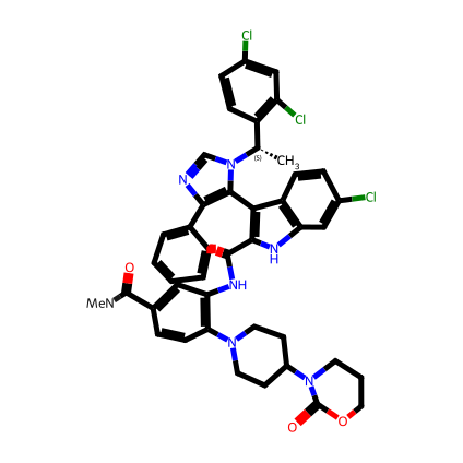 CNC(=O)c1ccc(N2CCC(N3CCCOC3=O)CC2)c(NC(=O)c2[nH]c3cc(Cl)ccc3c2-c2c(-c3ccccc3)ncn2[C@@H](C)c2ccc(Cl)cc2Cl)c1